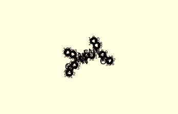 c1ccc2cc(N(c3ccc4c(c3)oc3ccccc34)c3ccc4c(n3)sc3nc(N(c5ccc6ccccc6c5)c5ccc6c(c5)oc5ccccc56)cnc34)ccc2c1